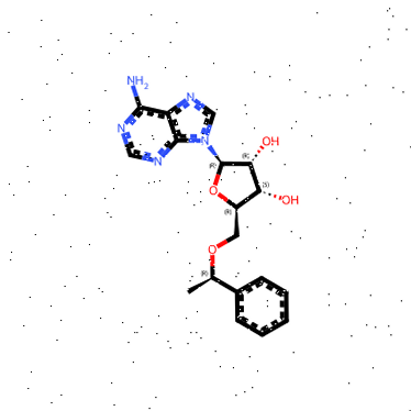 C[C@@H](OC[C@H]1O[C@@H](n2cnc3c(N)ncnc32)[C@H](O)[C@@H]1O)c1ccccc1